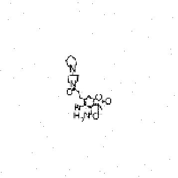 NC(=O)c1c(Br)c(C[CH]C(=O)N2CCC(N3CCCCC3)CC2)cc2oc(=O)[nH]c12